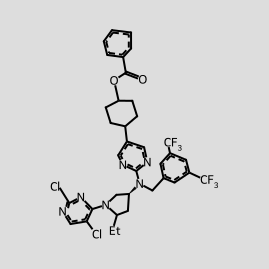 CCC1C[C@H](N(Cc2cc(C(F)(F)F)cc(C(F)(F)F)c2)c2ncc(C3CCC(OC(=O)c4ccccc4)CC3)cn2)CN1c1nc(Cl)ncc1Cl